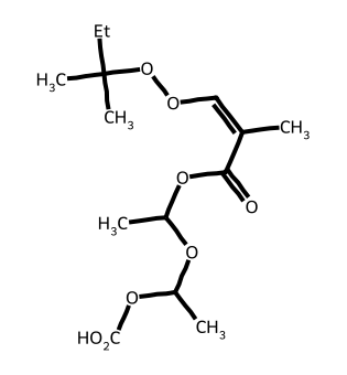 CCC(C)(C)OOC=C(C)C(=O)OC(C)OC(C)OC(=O)O